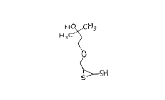 CC(C)(O)CCOCC1SC1S